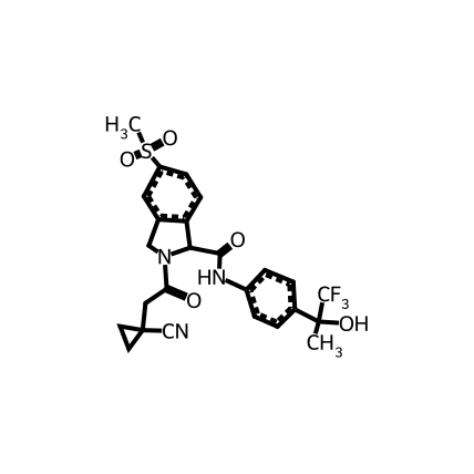 CC(O)(c1ccc(NC(=O)C2c3ccc(S(C)(=O)=O)cc3CN2C(=O)CC2(C#N)CC2)cc1)C(F)(F)F